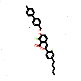 CCCCCc1ccc(-c2cc3ccc(OCc4ccc(-c5ccc(C)cc5)cc4)c(F)c3c(=O)o2)c(F)c1